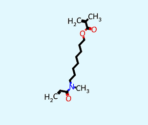 C=CC(=O)N(C)CCCCCCCCOC(=O)C(=C)C